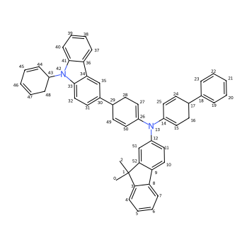 CC1(C)c2ccccc2-c2ccc(N(C3=CCC(c4ccccc4)C=C3)C3=CCC(c4ccc5c(c4)c4ccccc4n5C4C=CC=CC4)C=C3)cc21